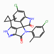 Cc1ccc(Cl)cc1N1C(=O)c2n[nH]c(C3(C)CC3)c2C12C(=O)Nc1cc(Cl)ccc12